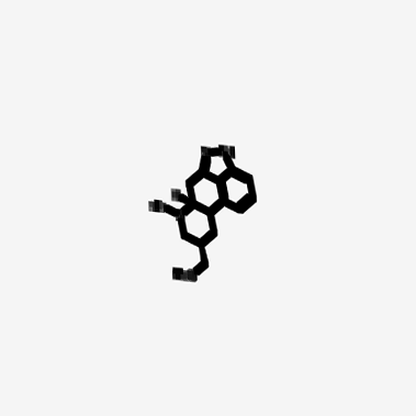 CCCN1C[C@H](COC)CC2c3cccc4[nH]nc(c34)C[C@H]21